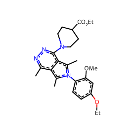 CCOC(=O)C1CCN(c2nnc(C)c3c(C)n(-c4ccc(OCC)cc4OC)c(C)c23)CC1